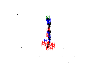 O=C(Cc1ccc(OCCCC2CCN(c3ncc(Cl)cn3)CC2)cn1)N1CC(CNC[C@H](O)[C@@H](O)[C@H](O)[C@H](O)CO)C1